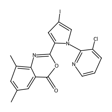 Cc1cc(C)c2nc(-c3cc(I)cn3-c3ncccc3Cl)oc(=O)c2c1